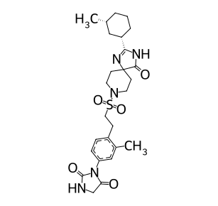 Cc1cc(N2C(=O)CNC2=O)ccc1CCS(=O)(=O)N1CCC2(CC1)N=C([C@H]1CCC[C@@H](C)C1)NC2=O